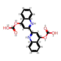 O=C(O)Oc1cc(-c2cc(OC(=O)O)c3ccccc3n2)nc2ccccc12